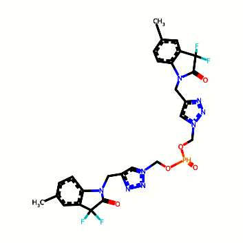 Cc1ccc2c(c1)C(F)(F)C(=O)N2Cc1cn(CO[PH](=O)OCn2cc(CN3C(=O)C(F)(F)c4cc(C)ccc43)nn2)nn1